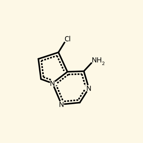 Nc1ncnn2ccc(Cl)c12